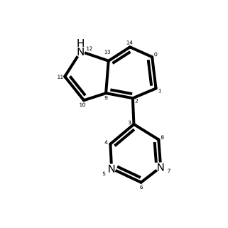 c1cc(-c2cncnc2)c2cc[nH]c2c1